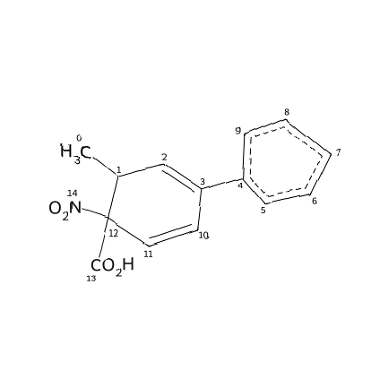 CC1C=C(c2ccccc2)C=CC1(C(=O)O)[N+](=O)[O-]